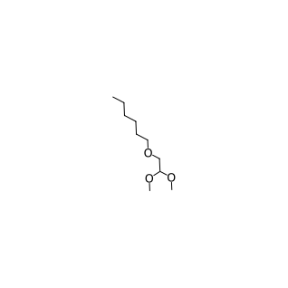 CCCCCCOCC(OC)OC